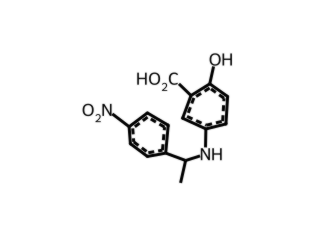 CC(Nc1ccc(O)c(C(=O)O)c1)c1ccc([N+](=O)[O-])cc1